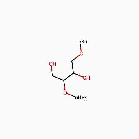 CCCCCCOC(CO)C(O)COCCCC